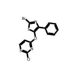 Clc1nccc(Oc2sc(Br)nc2-c2ccccc2)n1